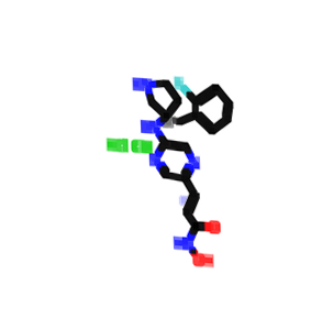 Cl.Cl.O=C(/C=C/c1cnc(N[C@]2(Cc3ccccc3F)CCNC2)cn1)NO